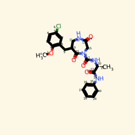 COc1ccc(Cl)cc1CC1CNC(=O)CN(C(=O)N[C@H](C)C(=O)Nc2ccccc2)C1=O